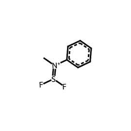 C[N+](c1ccccc1)=S(F)F